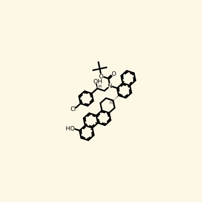 CC(C)(C)OC(=O)N(C[C@H](O)c1ccc(Cl)cc1)c1c([C@H]2CCc3c(ccc4c3ccc3c(O)cccc34)C2)ccc2ccccc12